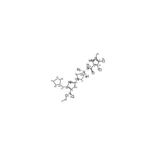 CCOC(=O)c1sc(N2C[C@@H]3[C@H](C2)[C@H]3NC(=O)c2[nH]c(C)c(Cl)c2Cl)nc1CC1CCCC1